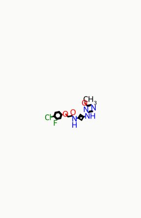 COc1cncc(NC23CC(NC(=O)COc4ccc(Cl)c(F)c4)(C2)C3)n1